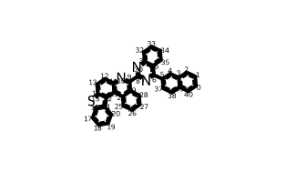 c1ccc2cc(-c3nc(-c4nc5ccc6sc7ccccc7c6c5c5ccccc45)nc4ccccc34)ccc2c1